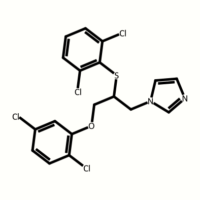 Clc1ccc(Cl)c(OCC(Cn2ccnc2)Sc2c(Cl)cccc2Cl)c1